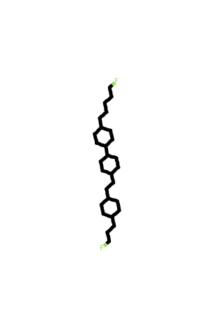 FCCCCCC1CCC(C2CCC(CCC3CCC(CCCF)CC3)CC2)CC1